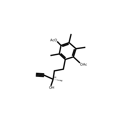 C#C[C@](C)(O)CCc1c(C)c(OC(C)=O)c(C)c(C)c1OC(C)=O